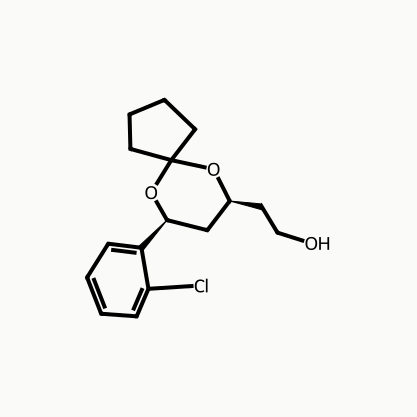 OCC[C@H]1C[C@@H](c2ccccc2Cl)OC2(CCCC2)O1